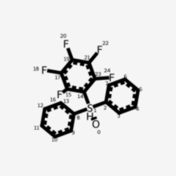 O=[SH](c1ccccc1)(c1ccccc1)c1c(F)c(F)c(F)c(F)c1F